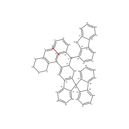 C1=C(c2cccc3c2CCCC3)C(N(c2ccccc2)c2cccc3c2oc2ccccc23)CC2=C1c1ccccc1C21c2ccccc2-c2ccccc21